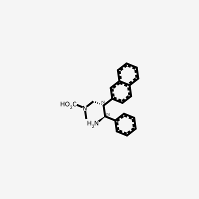 CN(C[C@H](c1ccc2ccccc2c1)[C@H](N)c1ccccc1)C(=O)O